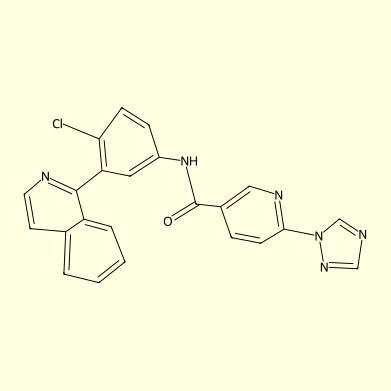 O=C(Nc1ccc(Cl)c(-c2nccc3ccccc23)c1)c1ccc(-n2cncn2)nc1